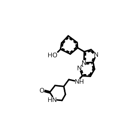 O=C1CC(CNc2ccc3ncc(-c4cccc(O)c4)n3n2)CCN1